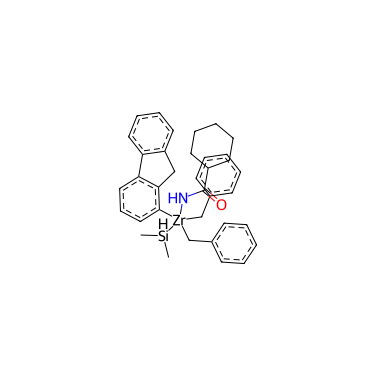 C[SiH](C)[Zr]([CH2]c1ccccc1)([CH2]c1ccccc1)([NH]C(=O)C1CCCCC1)[c]1cccc2c1Cc1ccccc1-2